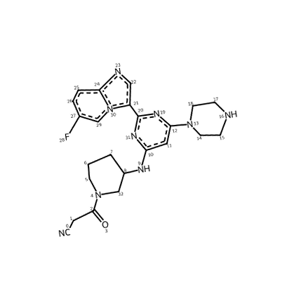 N#CCC(=O)N1CCCC(Nc2cc(N3CCNCC3)nc(-c3cnc4ccc(F)cn34)n2)C1